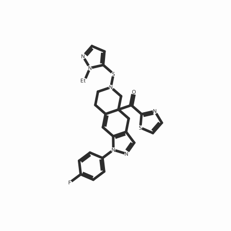 CCn1nccc1SN1CCC2=Cc3c(cnn3-c3ccc(F)cc3)CC2(C(=O)c2nccs2)C1